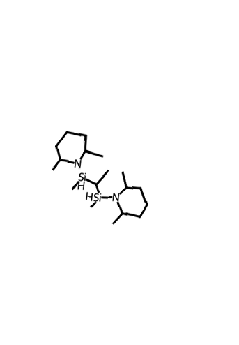 CC1CCCC(C)N1[SiH](C)C(C)[SiH](C)N1C(C)CCCC1C